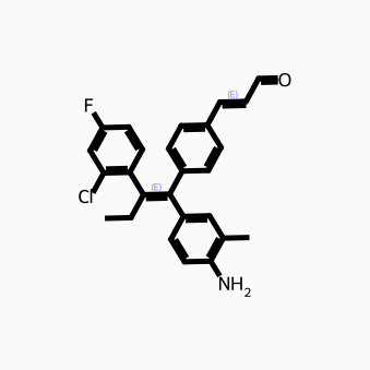 CC/C(=C(/c1ccc(/C=C/C=O)cc1)c1ccc(N)c(C)c1)c1ccc(F)cc1Cl